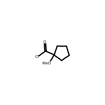 COC1(C(=O)Cl)CCCC1